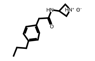 CCCc1ccc(CC(=O)NC2C[NH+]([O-])C2)cc1